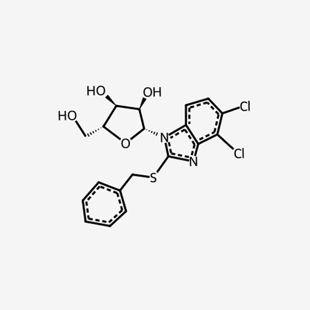 OC[C@H]1O[C@@H](n2c(SCc3ccccc3)nc3c(Cl)c(Cl)ccc32)[C@H](O)[C@@H]1O